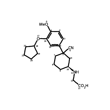 COc1ccc(C2(C#N)CCC[C@H](NCC(=O)O)C2)cc1OC1CCCC1